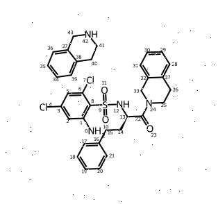 Nc1cc(Cl)cc(Cl)c1S(=O)(=O)N[C@H](CCc1ccccc1)C(=O)N1CCc2ccccc2C1.c1ccc2c(c1)CCNC2